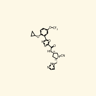 N#CN1C[C@H](NC(=O)c2nnc(-c3cc(OC(F)(F)F)ccc3OC3CC3)o2)C[C@H]1Cn1ccnn1